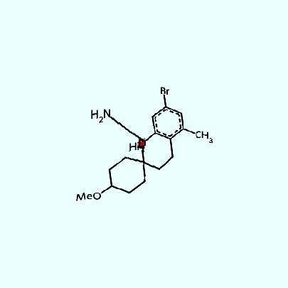 COC1CCC2(CCc3c(C)cc(Br)cc3C23N=CC(N)N3)CC1